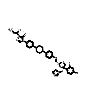 CCC(C)n1ncn(-c2ccc(C3CCC(c4ccc(OC[C@@H]5OC[C@@](Cn6cncn6)(c6ccc(F)cc6F)O5)cc4)CC3)cc2)c1=O